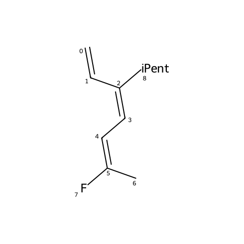 C=C/C(=C\C=C(/C)F)C(C)CCC